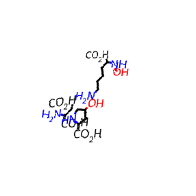 NC(CC(=O)O)C(=O)O.NCCCCC(NO)C(=O)O.O=C(O)C1CC(O)CN1